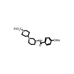 CCOC(=O)N1CCC(N2CCC[C@H](NC(=O)c3ccc(OC)cc3)C2)CC1